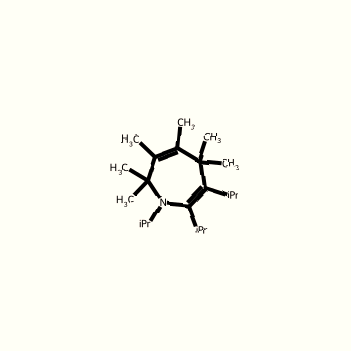 CC1=C(C)C(C)(C)N(C(C)C)C(C(C)C)=C(C(C)C)C1(C)C